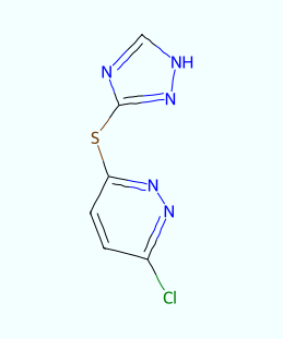 Clc1ccc(Sc2nc[nH]n2)nn1